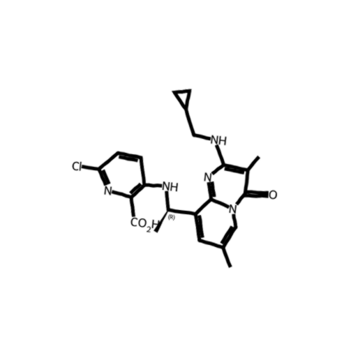 Cc1cc([C@@H](C)Nc2ccc(Cl)nc2C(=O)O)c2nc(NCC3CC3)c(C)c(=O)n2c1